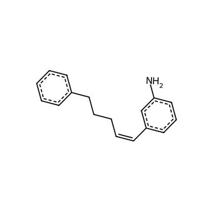 Nc1cccc(/C=C\CCCc2ccccc2)c1